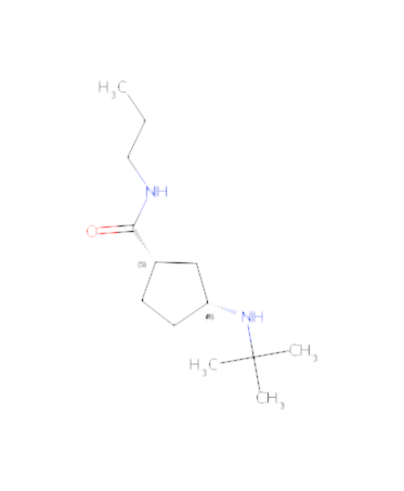 CCCNC(=O)[C@H]1CC[C@@H](NC(C)(C)C)C1